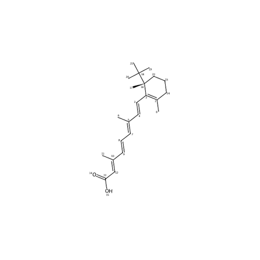 CC1=C(/C=C/C(C)=C/C=C/C(C)=C/C(=O)O)[C@](C)(C(C)(C)C)CCC1